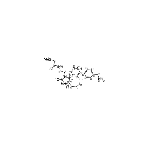 CSCC(=O)NCCN1C(=O)N[C@@H]2CCCCC3=C(c4ccc(CN)cc4)NN=CC3[C@H]21